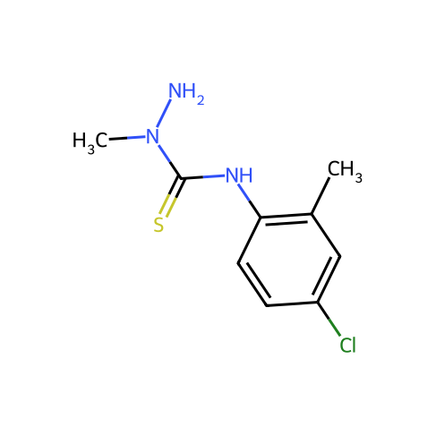 Cc1cc(Cl)ccc1NC(=S)N(C)N